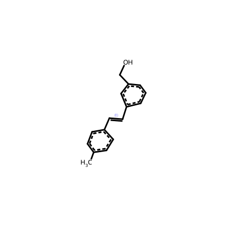 Cc1ccc(/C=C/c2cccc(CO)c2)cc1